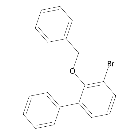 Brc1cccc(-c2ccccc2)c1OCc1ccccc1